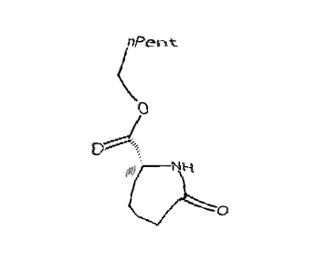 CCCCCCOC(=O)[C@H]1CCC(=O)N1